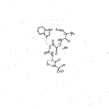 CC[C@H](C)[C@H](NC(C)=O)C(=O)N[C@H](C(=O)N[C@@H](Cc1c[nH]c2ccccc12)C(=O)N[C@@H](CS)C(=O)N[C@H]([C]=O)C(C)C)[C@@H](C)CC